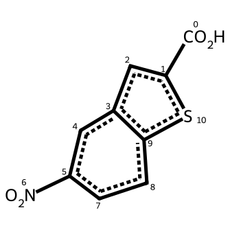 O=C(O)c1cc2cc([N+](=O)[O-])ccc2s1